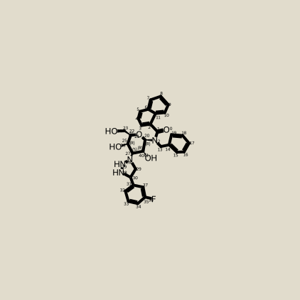 O=C(c1cccc2ccccc12)N(Cc1ccccc1)[C@@H]1O[C@H](CO)[C@H](O)[C@H](N2CC(c3cccc(F)c3)NN2)[C@H]1O